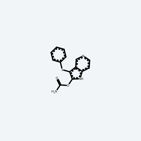 NC(=O)Oc1[nH]c2ccncc2c1Sc1ccccc1